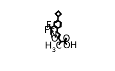 CC(C(=O)O)c1cc(-c2ccc(C3CCC3)cc2C(F)(F)F)no1